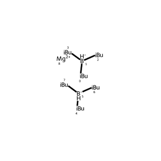 CCC(C)[BH-](C(C)CC)C(C)CC.CCC(C)[BH-](C(C)CC)C(C)CC.[Mg+2]